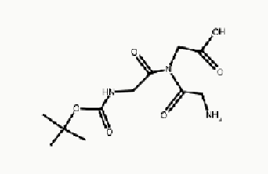 CC(C)(C)OC(=O)NCC(=O)N(CC(=O)O)C(=O)CN